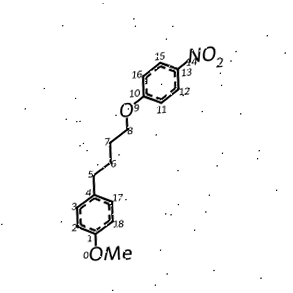 COc1ccc(CCCCOc2ccc([N+](=O)[O-])cc2)cc1